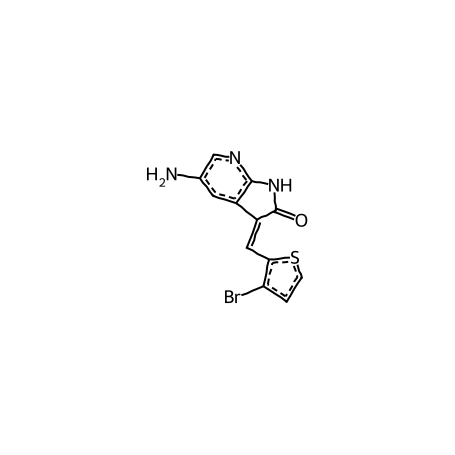 Nc1cnc2c(c1)C(=Cc1sccc1Br)C(=O)N2